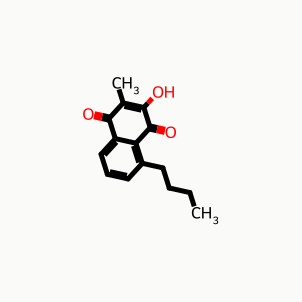 CCCCc1cccc2c1C(=O)C(O)=C(C)C2=O